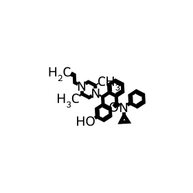 C=CCN1C[C@H](C)N([C@H](c2cccc(O)c2)c2ccccc2C(=O)N(c2ccccc2)C2CC2)C[C@H]1C